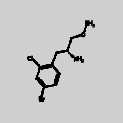 NOC[C@H](N)Cc1ccc(Br)cc1Cl